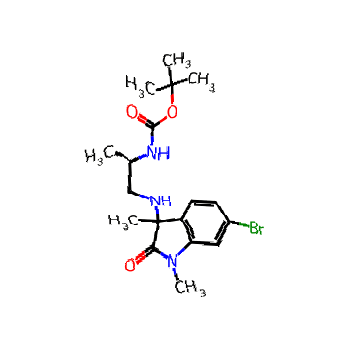 C[C@H](CNC1(C)C(=O)N(C)c2cc(Br)ccc21)NC(=O)OC(C)(C)C